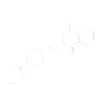 CCc1nn(CCN2CCN(C(=O)OC(C)(C)C)CC2)c(=O)c2ccccc12